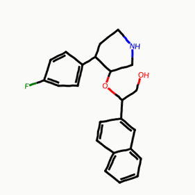 OCC(OC1CNCCC1c1ccc(F)cc1)c1ccc2ccccc2c1